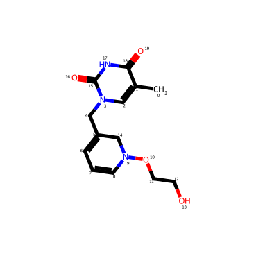 Cc1cn(CC2=CC=CN(OCCO)C2)c(=O)[nH]c1=O